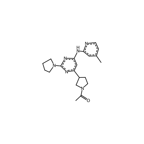 CC(=O)N1CCC(c2cc(Nc3cc(C)ccn3)nc(N3CCCC3)n2)C1